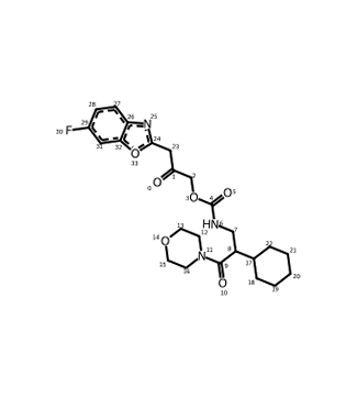 O=C(COC(=O)NCC(C(=O)N1CCOCC1)C1CCCCC1)Cc1nc2ccc(F)cc2o1